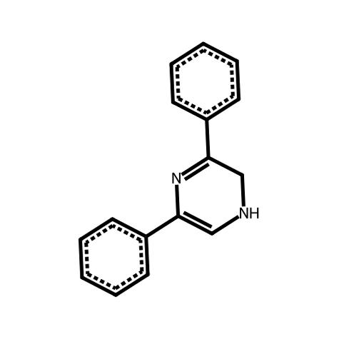 C1=C(c2ccccc2)N=C(c2ccccc2)CN1